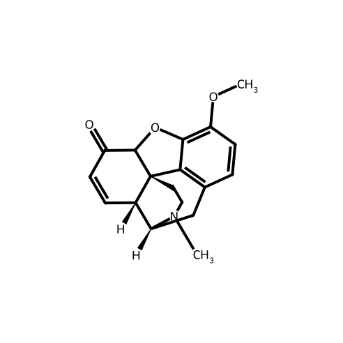 COc1ccc2c3c1OC1C(=O)C=C[C@H]4[C@@H](C2)N(C)CC[C@]314